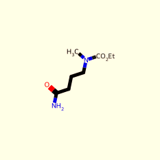 CCOC(=O)N(C)CCCC(N)=O